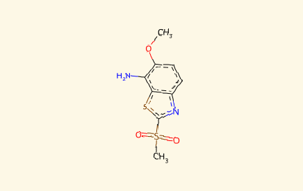 COc1ccc2nc(S(C)(=O)=O)sc2c1N